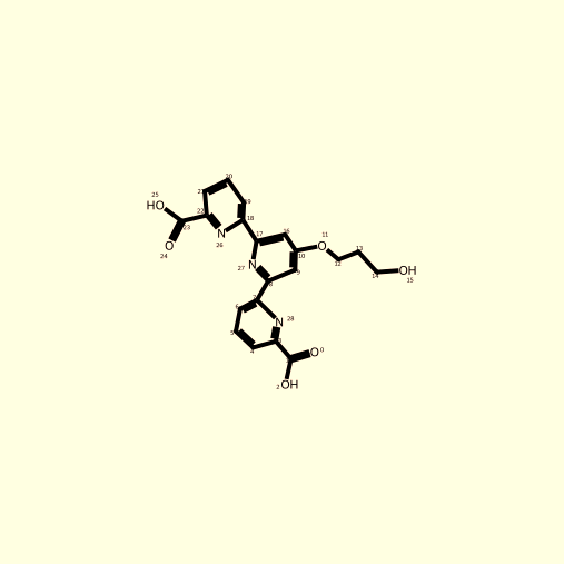 O=C(O)c1cccc(-c2cc(OCCCO)cc(-c3cccc(C(=O)O)n3)n2)n1